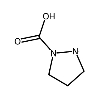 O=C(O)N1CCC[N]1